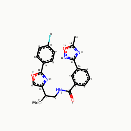 COC(CNC(=O)c1cccc(-c2noc(C)n2)c1)c1coc(-c2ccc(F)cc2)n1